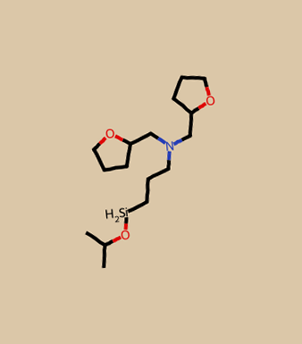 CC(C)O[SiH2]CCCN(CC1CCCO1)CC1CCCO1